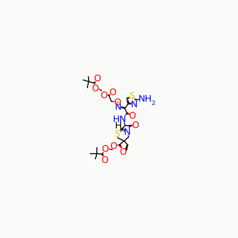 C=CC1(C(=O)OCOC(=O)C(C)(C)C)CS[C@@H]2C(NC(=O)C(=NOCC(=O)OCOC(=O)C(C)(C)C)c3csc(N)n3)C(=O)N2C1